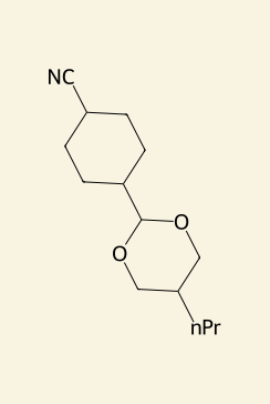 CCCC1COC(C2CCC(C#N)CC2)OC1